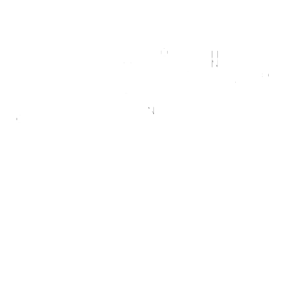 O=C1CCC(N2Cc3c(cc(Cl)cc3C3CCCC3)C2=O)C(=O)N1